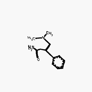 CN(C)CC(C(N)=O)c1ccccc1